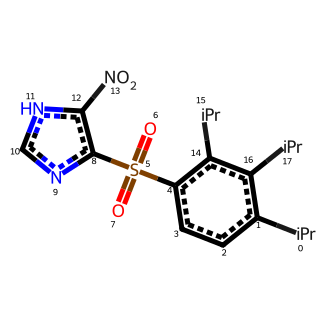 CC(C)c1ccc(S(=O)(=O)c2nc[nH]c2[N+](=O)[O-])c(C(C)C)c1C(C)C